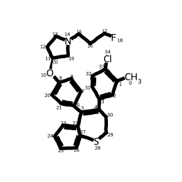 Cc1cc(C2=C(c3ccc(O[C@H]4CCN(CCCF)C4)cc3)c3ccccc3SCC2)ccc1Cl